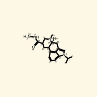 CC(C)n1cc2c3c(cccc31)C1CC(C(=O)NN)CN(C)[C@@H]1C2